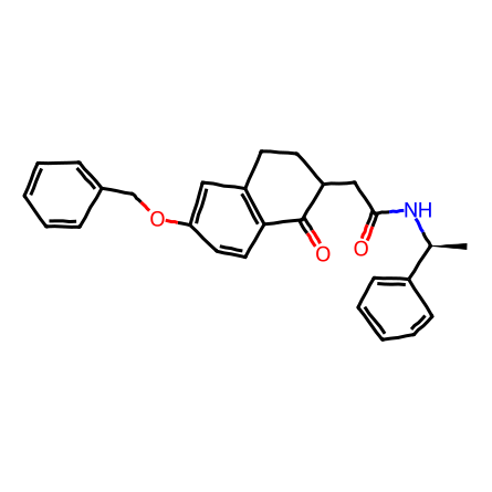 C[C@H](NC(=O)CC1CCc2cc(OCc3ccccc3)ccc2C1=O)c1ccccc1